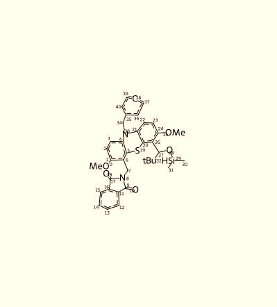 COc1ccc2c(c1CN1C(=O)c3ccccc3C1=O)Sc1c(ccc(OC)c1C(O[SiH](C)C)C(C)(C)C)N2Cc1ccccc1